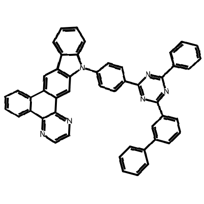 c1ccc(-c2cccc(-c3nc(-c4ccccc4)nc(-c4ccc(-n5c6ccccc6c6cc7c8ccccc8c8nccnc8c7cc65)cc4)n3)c2)cc1